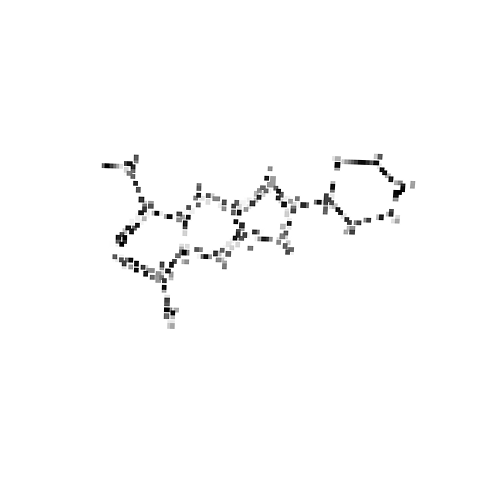 COC(=O)c1cc2nc(N3CCOCC3)oc2cc1[N+](=O)[O-]